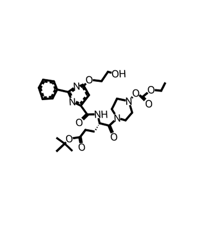 CCOC(=O)ON1CCN(C(=O)[C@H](CCC(=O)OC(C)(C)C)NC(=O)c2cc(OCCO)nc(-c3ccccc3)n2)CC1